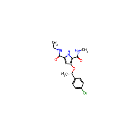 CCNC(=O)c1cc(O[C@@H](C)c2ccc(Br)cc2)c(C(=O)NC)[nH]1